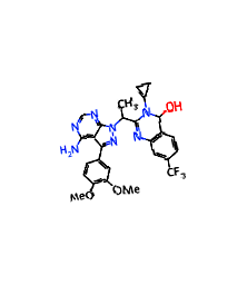 COc1ccc(-c2nn(C(C)C3=Nc4cc(C(F)(F)F)ccc4C(O)N3C3CC3)c3ncnc(N)c23)cc1OC